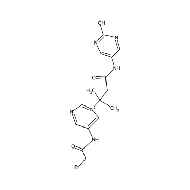 CC(C)CC(=O)Nc1cnc[n+](C(C)(C)CC(=O)Nc2cnc(O)nc2)c1